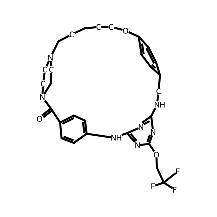 O=C1c2ccc(cc2)Nc2nc(nc(OCC(F)(F)F)n2)NCc2ccc(cc2)OCCCCCN2CCN1CC2